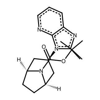 Cc1nc2cccnc2n1[C@H]1C[C@H]2CC[C@@H](C1)N2C(=O)OC(C)(C)C